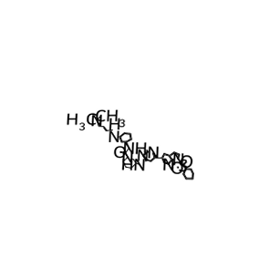 CN(C)C/C=C/CNc1cccc(NC(=O)N2CCCC(Nc3cc(-c4cnc5c(ccn5S(=O)(=O)c5ccccc5)c4)ncn3)C2)c1